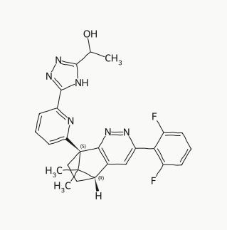 CC(O)c1nnc(-c2cccc([C@@]34CC[C@@H](c5cc(-c6c(F)cccc6F)nnc53)C4(C)C)n2)[nH]1